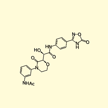 CC(=O)Nc1cccc(N2CCO[C@H]([C@@H](O)C(=O)Nc3ccc(-c4noc(=O)[nH]4)cc3)C2=O)c1